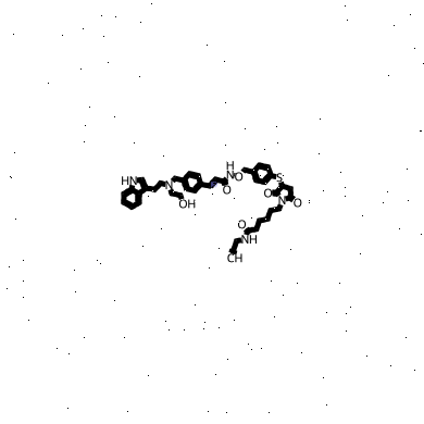 C#CCNC(=O)CCCCCN1C(=O)CC(Sc2ccc(CONC(=O)/C=C/c3ccc(CN(CCO)CCc4c[nH]c5ccccc45)cc3)cc2)C1=O